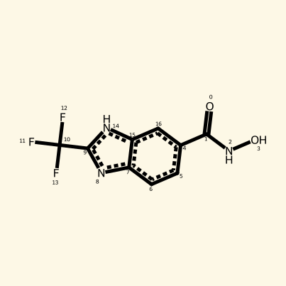 O=C(NO)c1ccc2nc(C(F)(F)F)[nH]c2c1